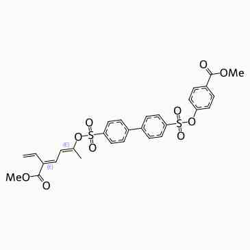 C=C/C(=C\C=C(/C)OS(=O)(=O)c1ccc(-c2ccc(S(=O)(=O)Oc3ccc(C(=O)OC)cc3)cc2)cc1)C(=O)OC